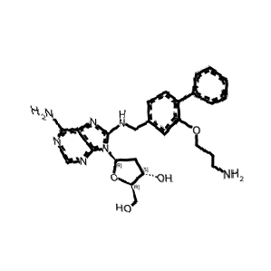 NCCCOc1cc(CNc2nc3c(N)ncnc3n2[C@H]2C[C@H](O)[C@@H](CO)O2)ccc1-c1ccccc1